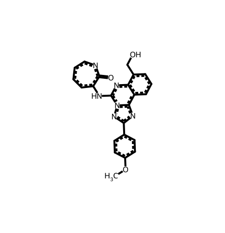 COc1ccc(-c2nc3c4cccc(CO)c4nc(Nc4ccccnc4=O)n3n2)cc1